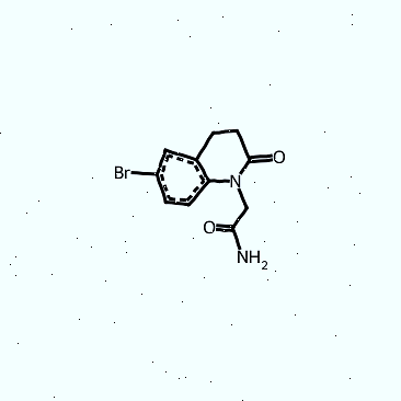 NC(=O)CN1C(=O)CCc2cc(Br)ccc21